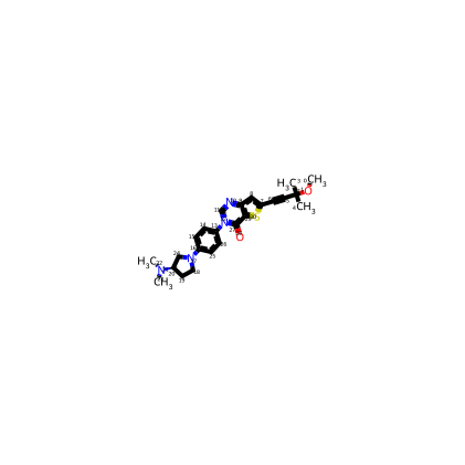 COC(C)(C)C#Cc1cc2ncn(-c3ccc(N4CC[C@@H](N(C)C)C4)cc3)c(=O)c2s1